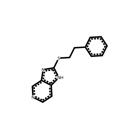 c1ccc(CCSc2nc3cnccc3[nH]2)cc1